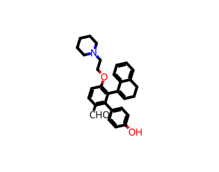 O=Cc1ccc(OCCN2CCCCC2)c(C2=CCCc3ccccc32)c1-c1ccc(O)cc1